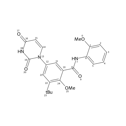 COc1ccccc1NC(=O)c1cc(-n2ccc(=O)[nH]c2=O)cc(C(C)(C)C)c1OC